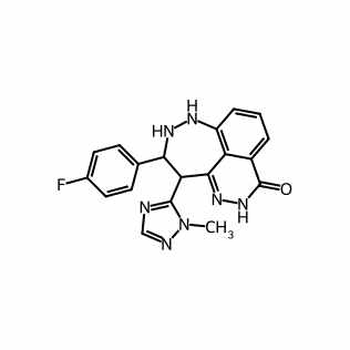 Cn1ncnc1C1c2n[nH]c(=O)c3cccc(c23)NNC1c1ccc(F)cc1